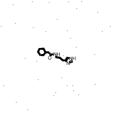 O=C(CC1CCCCC1)NCCCc1c[nH]cn1